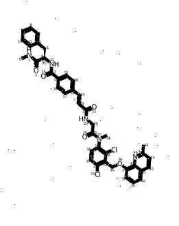 CNC(=O)[C@@H](Cc1ccccc1)NC(=O)c1ccc(/C=C/C(=O)NCC(=O)N(C)c2ccc(Cl)c(COc3cccc4ccc(C)nc34)c2Cl)cc1